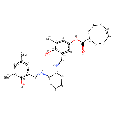 CC(C)(C)c1cc(/C=N/[C@@H]2CCCC[C@H]2/N=C/c2cc(OC(=O)C3CC/C=C\CCC3)cc(C(C)(C)C)c2O)c(O)c(C(C)(C)C)c1